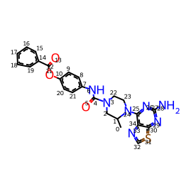 CC1CN(C(=O)Nc2ccc(OC(=O)c3ccccc3)cc2)CCN1c1nc(N)nc2scnc12